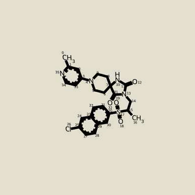 Cc1cc(N2CCC3(CC2)NC(=O)N(CC(C)S(=O)(=O)c2ccc4cc(Cl)ccc4c2)C3=O)ccn1